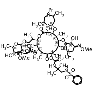 CON=C1C[C@@H](C)O[C@@H](O[C@@H]2[C@@H](C)[C@H](O[C@H]3CC(C)N(C(C)C)C[C@H](C)O3)[C@@H](C)C(=O)O[C@H](C(C)CO[C@@H]3O[C@H](C)[C@@H](O)[C@@H](OC)[C@H]3OC)[C@H](C)[C@@H](OC(=O)CC(C)C)[C@@H](C)C(=O)[C@@](C)(OC(=O)NC(C)(C)CNS(=O)(=O)c3ccccc3)C[C@@H]2C)[C@@H]1O